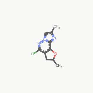 Cc1cn2nc(Cl)c3c(c2n1)OC(C)C3